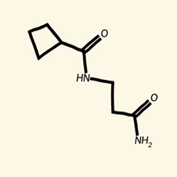 NC(=O)CCNC(=O)C1CCC1